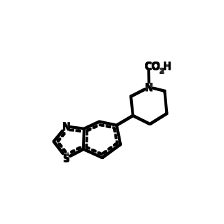 O=C(O)N1CCCC(c2ccc3scnc3c2)C1